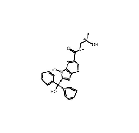 CCn1c(C(O)(c2ccccc2)c2ccccc2)nc2ccc(C(=O)NC[C@@H](C)O)nc21